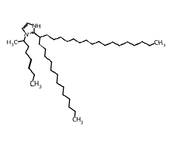 CCCCCCCCCCCCCCCCCC(CCCCCCCCCCCCC)c1[nH]cc[n+]1C(C)CCCCCC